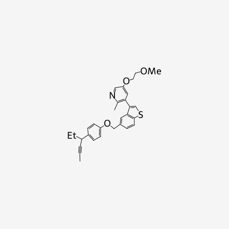 CC#CC(CC)c1ccc(OCc2ccc3scc(-c4cc(OCCOC)cnc4C)c3c2)cc1